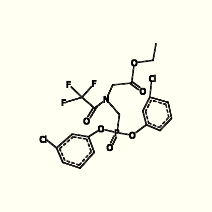 CCOC(=O)CN(CP(=O)(Oc1cccc(Cl)c1)Oc1cccc(Cl)c1)C(=O)C(F)(F)F